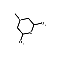 CN1CC(C(F)(F)F)OC(C(F)(F)F)C1